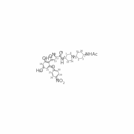 CC(=O)N[C@H]1CC[C@@H](N2CCC(NC(=O)c3cc(-c4c(O)cc(O)cc4Oc4ccc([N+](=O)[O-])cc4)on3)CC2)CC1